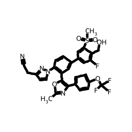 Cc1nc(-c2ccc(OC(F)(F)F)cc2)c(-c2cc(-c3cc(F)c(CO)c(S(C)(=O)=O)c3)ccc2-n2ccc(CC#N)n2)o1